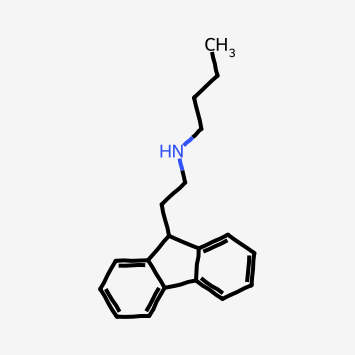 CCCCNCCC1c2ccccc2-c2ccccc21